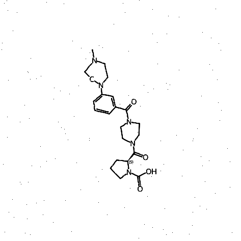 CN1CCN(c2cccc(C(=O)N3CCN(C(=O)[C@@H]4CCCN4C(=O)O)CC3)c2)CC1